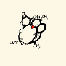 C=C1CC2CCC3[C@@H](C)CCC[C@]34OC3C(OC[C@@H](O)OC1CC[C@H]24)OC1OC1C3O